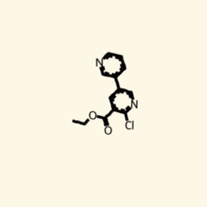 CCOC(=O)c1cc(-c2cccnc2)cnc1Cl